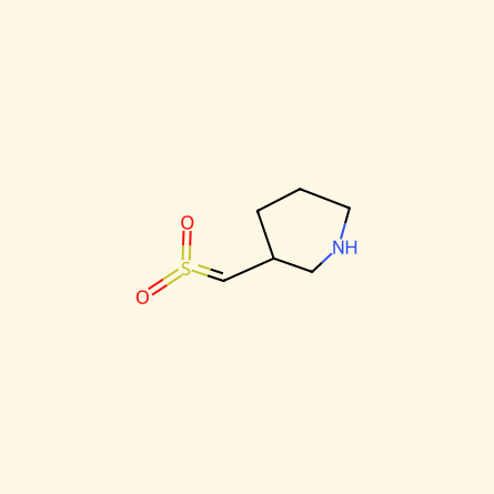 O=S(=O)=CC1CCCNC1